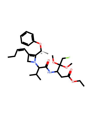 CC/C=C\C1=C([C@@H](C)Oc2ccccc2)N(C(C(=O)NC(CC(=O)OCC)C(CF)(OC)OC)C(C)C)C1